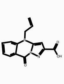 C=CCn1c2ccccc2c(=O)n2nc(C(=O)O)cc12